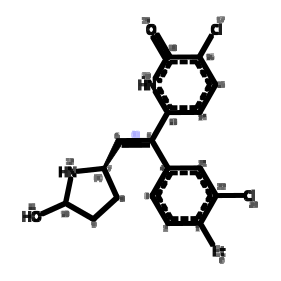 CCc1ccc(/C(=C\[C@H]2CCC(O)N2)c2ccc(Cl)c(=O)[nH]2)cc1Cl